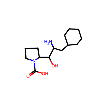 NC(CC1CCCCC1)C(O)C1CCCN1C(=O)O